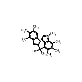 Cc1cc2c(c(C)c1C)C=C(C(C)(O)c1c(C)c(C)c(C)c3c1ccn3C)C2